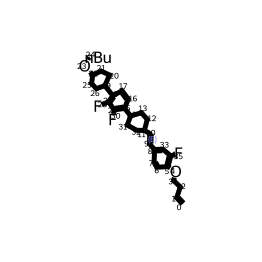 C=CCCOc1ccc(/C=C/C2CCC(c3ccc(C4CCC(OCCCC)CC4)c(F)c3F)CC2)cc1F